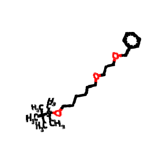 CC(C)(C)[Si](C)(C)OCCCCCCOCCCOCc1ccccc1